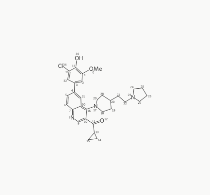 COc1cc(-c2ccc3ncc(C(=O)C4CC4)c(N4CCC(CCN5CCCC5)CC4)c3c2)cc(Cl)c1O